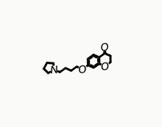 O=C1CCOc2cc(OCCCCN3CCCC3)ccc21